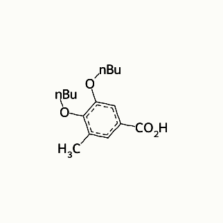 CCCCOc1cc(C(=O)O)cc(C)c1OCCCC